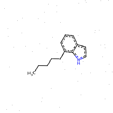 CCCCCc1cccc2cc[nH]c12